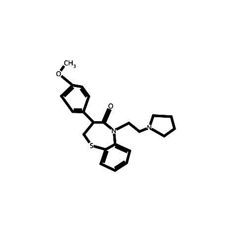 COc1ccc(C2CSc3ccccc3N(CCN3CCCC3)C2=O)cc1